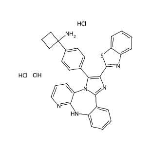 Cl.Cl.Cl.NC1(c2ccc(-c3c(-c4nc5ccccc5s4)nc4n3-c3cccnc3Nc3ccccc3-4)cc2)CCC1